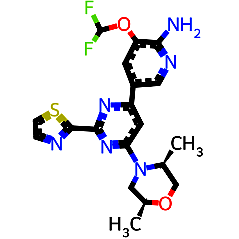 C[C@H]1CN(c2cc(-c3cnc(N)c(OC(F)F)c3)nc(-c3nccs3)n2)[C@@H](C)CO1